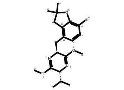 COC1=N[C@H](C(C)C)C(OC)=N[C@H]1Cc1ccc(Br)c2c1CC(C)(C)O2